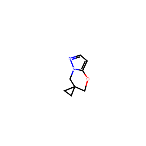 c1cc2n(n1)CC1(CC1)CO2